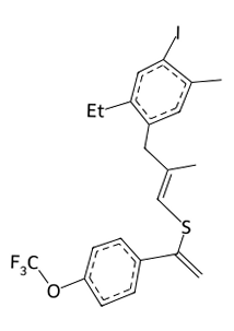 C=C(S/C=C(\C)Cc1cc(C)c(I)cc1CC)c1ccc(OC(F)(F)F)cc1